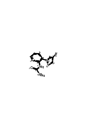 CC(C)(C)C(=O)Nc1ncccc1-n1cc(Br)cn1